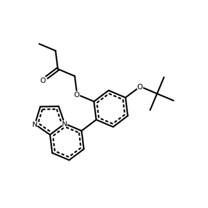 CCC(=O)COc1cc(OC(C)(C)C)ccc1-c1cccc2nccn12